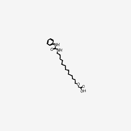 O=C(O)COCCCCCCCCCCCCCNC(=O)Nc1ccccc1